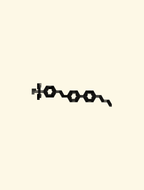 CCCCc1ccc(-c2ccc(CCc3ccc(C(F)(F)F)cc3)cc2)cc1